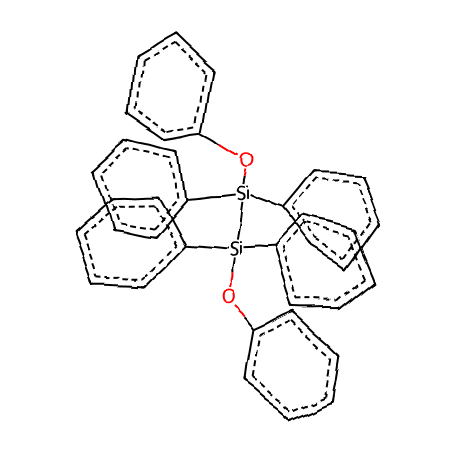 c1ccc(O[Si](c2ccccc2)(c2ccccc2)[Si](Oc2ccccc2)(c2ccccc2)c2ccccc2)cc1